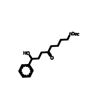 CCCCCCCCCCCCCCC(=O)CCC(O)c1ccccc1